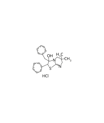 CC1(C)CN=C2SC(c3ccccc3)C(O)(Cc3ccccc3)N2C1.Cl